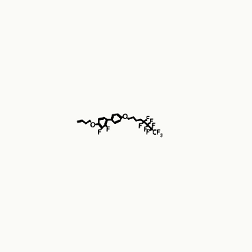 C=CCCOc1ccc(-c2ccc(OCCCCC(F)(F)C(F)(F)C(F)(F)C(F)(F)F)cc2)c(F)c1F